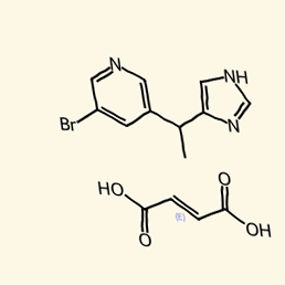 CC(c1cncc(Br)c1)c1c[nH]cn1.O=C(O)/C=C/C(=O)O